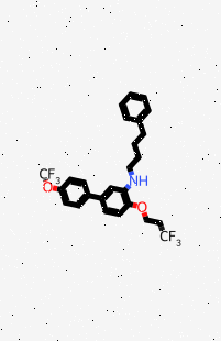 FC(F)(F)CCOc1ccc(-c2ccc(OC(F)(F)F)cc2)cc1NCCCCc1ccccc1